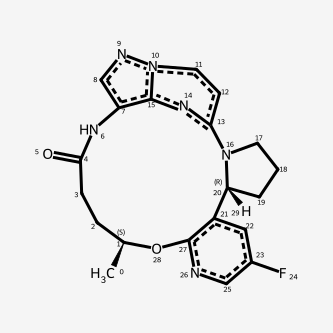 C[C@H]1CCC(=O)Nc2cnn3ccc(nc23)N2CCC[C@@H]2c2cc(F)cnc2O1